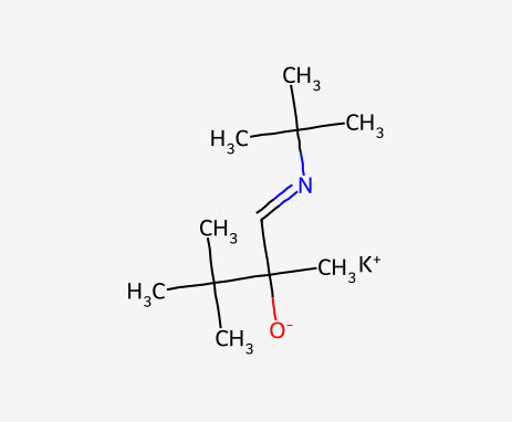 CC(C)(C)N=CC(C)([O-])C(C)(C)C.[K+]